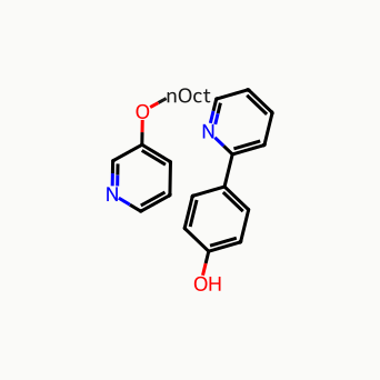 CCCCCCCCOc1cccnc1.Oc1ccc(-c2ccccn2)cc1